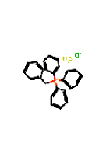 S.[Cl-].c1ccc(C[P+](c2ccccc2)(c2ccccc2)c2ccccc2)cc1